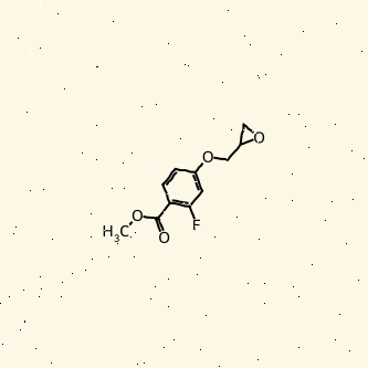 COC(=O)c1ccc(OCC2CO2)cc1F